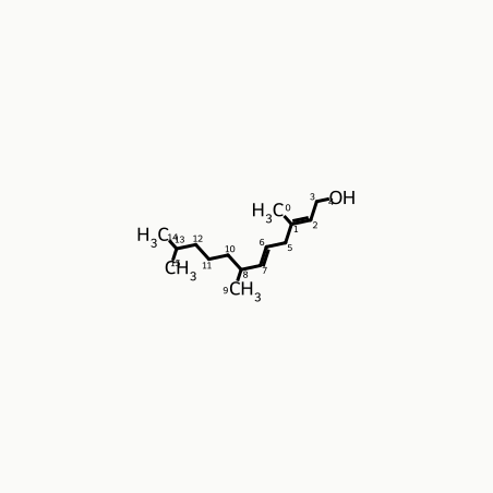 C/C(=C\CO)C/C=C/C(C)CCCC(C)C